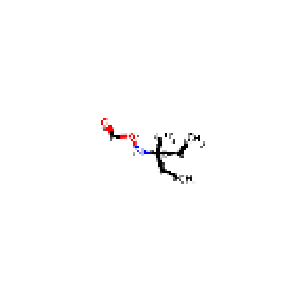 CCC(C)(CC)[N]O[C]=O